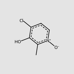 Cc1c(O)c(Cl)cc[n+]1[O-]